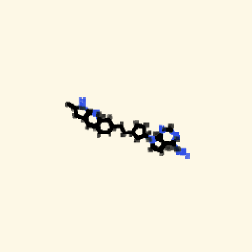 CC1Cc2cc3ccc(CCC4CCC(n5ccc6c(N)ncnc65)C4)cc3nc2N1